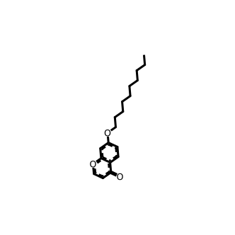 CCCCCCCCCCOc1ccc2c(=O)ccoc2c1